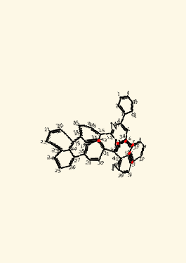 c1ccc(-c2cc(-c3ccccc3)nc(-c3ccc(-c4cccc5cccc(-c6ccc(-c7cccc8cccnc78)cc6)c45)cc3)n2)cc1